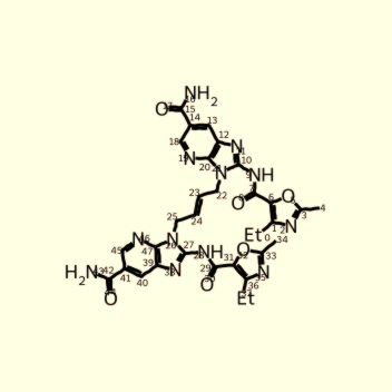 CCc1nc(C)oc1C(=O)Nc1nc2cc(C(N)=O)cnc2n1CC=CCn1c(NC(=O)c2oc(C)nc2CC)nc2cc(C(N)=O)cnc21